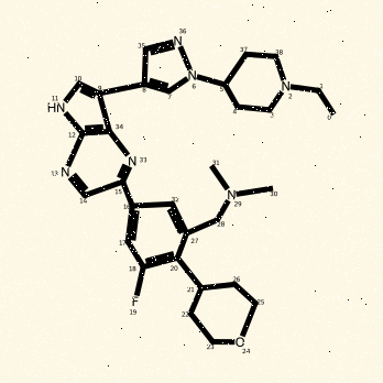 CCN1CCC(n2cc(-c3c[nH]c4ncc(-c5cc(F)c(C6CCOCC6)c(CN(C)C)c5)nc34)cn2)CC1